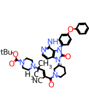 CC(C)(C)OC(=O)N1CCN(C(C)(C)C=C(C#N)C(=O)N2CCC[C@@H](n3c(=O)n(-c4ccc(Oc5ccccc5)cc4)c4c(N)nccc43)C2)CC1